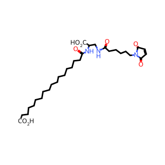 O=C(O)CCCCCCCCCCCCCCCCC(=O)NC(CNC(=O)CCCCCN1C(=O)C=CC1=O)C(=O)O